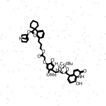 COc1cc(OCC(=O)OCCCc2cccc(C3(C(=O)OC4CN5CCC4CC5)CCCCC3)c2)c(Cl)cc1CNC[C@H](O[Si](C)(C)C(C)(C)C)c1ccc(O)c2[nH]c(=O)ccc12